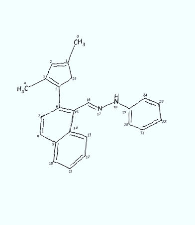 CC1=CC(C)=C(c2ccc3ccccc3c2C=NNc2ccccc2)C1